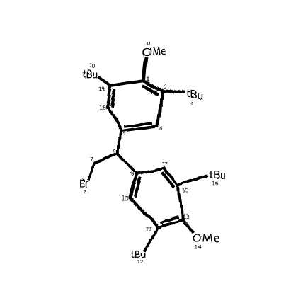 COc1c(C(C)(C)C)cc(C(CBr)c2cc(C(C)(C)C)c(OC)c(C(C)(C)C)c2)cc1C(C)(C)C